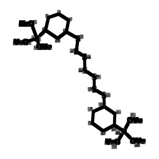 CO[Si](OC)(OC)C1CCCC(SSSSSSSC2CCCC([Si](OC)(OC)OC)C2)C1